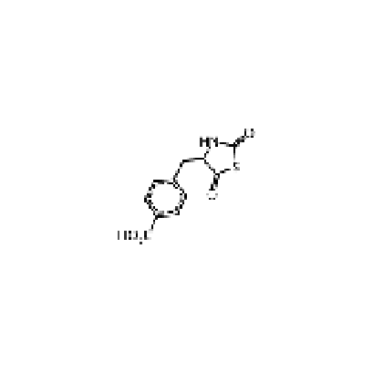 O=C1NC(Cc2ccc(C(=O)O)cc2)C(=O)S1